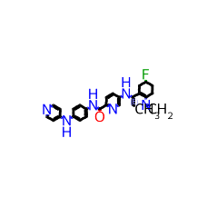 C=NC1=C(/C(=C\C)Nc2ccc(C(=O)Nc3ccc(Nc4ccncc4)cc3)nc2)CC(F)CC1